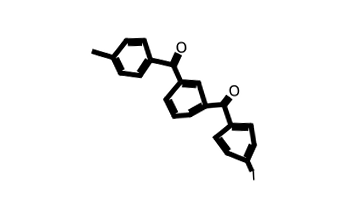 Cc1ccc(C(=O)c2cccc(C(=O)c3ccc(I)cc3)c2)cc1